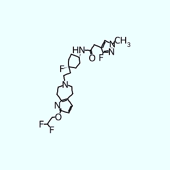 Cn1cc(CC(=O)N[C@H]2CC[C@](F)(CCN3CCc4ccc(OCC(F)F)nc4CC3)CC2)c(F)n1